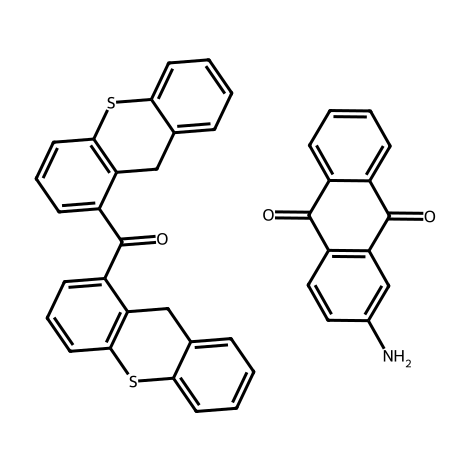 Nc1ccc2c(c1)C(=O)c1ccccc1C2=O.O=C(c1cccc2c1Cc1ccccc1S2)c1cccc2c1Cc1ccccc1S2